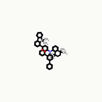 CC1(C)CCC(C)(C)c2c(N(c3ccc(-c4cccc5c4[Si](C)(C)c4ccccc4-5)cc3)c3ccc(-c4ccccc4)cc3-c3ccccc3)cccc21